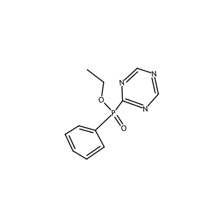 CCOP(=O)(c1ccccc1)c1ncncn1